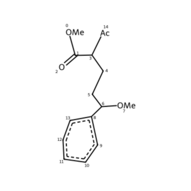 COC(=O)C(CCC(OC)c1ccccc1)C(C)=O